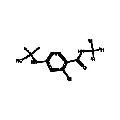 [2H]c1cc(NC(C)(C)C#N)ccc1C(=O)NC([2H])([2H])[2H]